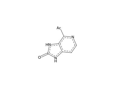 CC(=O)c1nccc2[nH]c(=O)[nH]c12